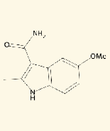 COc1ccc2[nH]c(C)c(C(N)=O)c2c1